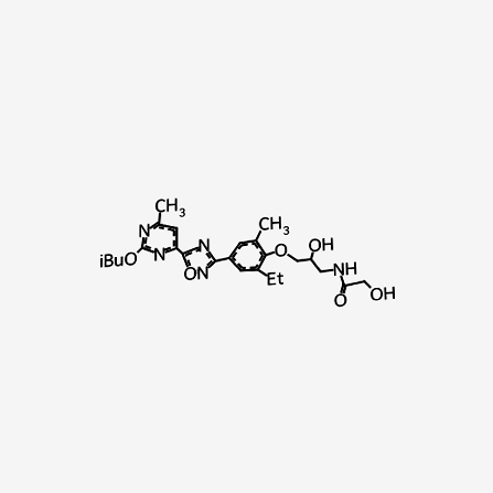 CCc1cc(-c2noc(-c3cc(C)nc(OCC(C)C)n3)n2)cc(C)c1OCC(O)CNC(=O)CO